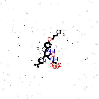 C=C(C)c1ccc(C2=C(CNC(=O)CS(C)(=O)=O)C(=O)N[C@](c3ccc(OCCCC(F)(F)F)cc3)(C(F)(F)F)C2)nc1